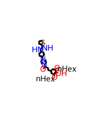 CCCCCCOc1cc(C=CC(=O)N2CCN(c3ccc(NC(=N)c4cccs4)cc3)CC2)cc(OCCCCCC)c1O